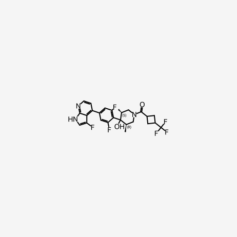 C[C@@H]1CN(C(=O)C2CC(C(F)(F)F)C2)C[C@H](C)C1(O)c1c(F)cc(-c2ccnc3[nH]cc(F)c23)cc1F